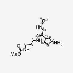 COC(=O)NCCCN/N=C(/CNC1CC1)C1=CC(N)C=C1